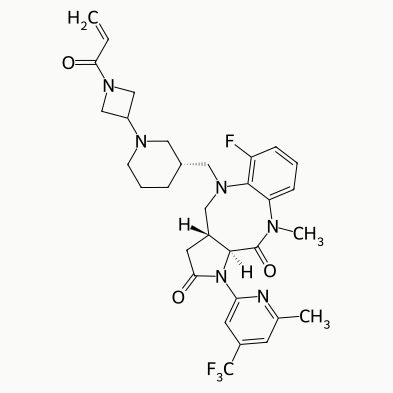 C=CC(=O)N1CC(N2CCC[C@@H](CN3C[C@H]4CC(=O)N(c5cc(C(F)(F)F)cc(C)n5)[C@@H]4C(=O)N(C)c4cccc(F)c43)C2)C1